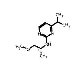 COC[C@@H](C)Nc1nccc(C(C)C)n1